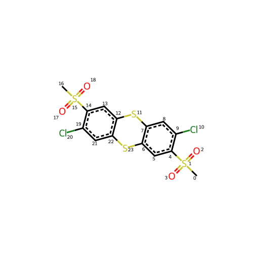 CS(=O)(=O)c1cc2c(cc1Cl)Sc1cc(S(C)(=O)=O)c(Cl)cc1S2